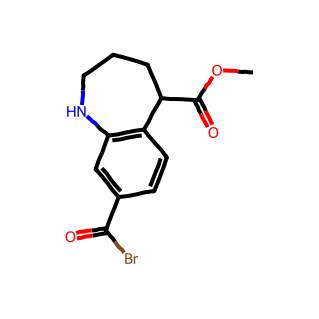 COC(=O)C1CCCNc2cc(C(=O)Br)ccc21